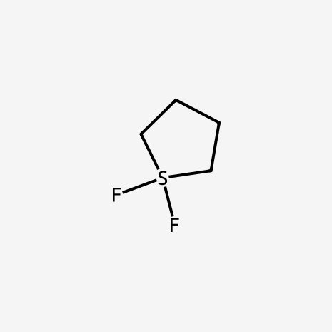 FS1(F)CCCC1